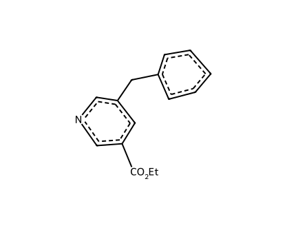 CCOC(=O)c1cncc(Cc2ccccc2)c1